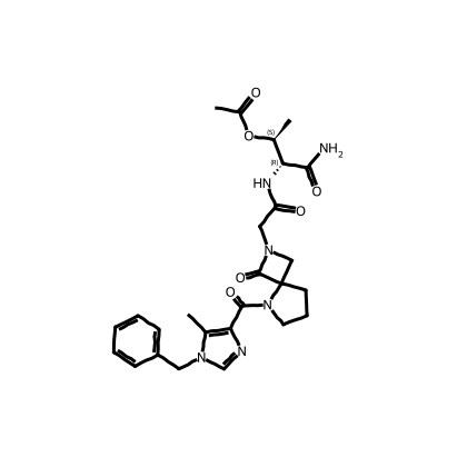 CC(=O)O[C@@H](C)[C@@H](NC(=O)CN1CC2(CCCN2C(=O)c2ncn(Cc3ccccc3)c2C)C1=O)C(N)=O